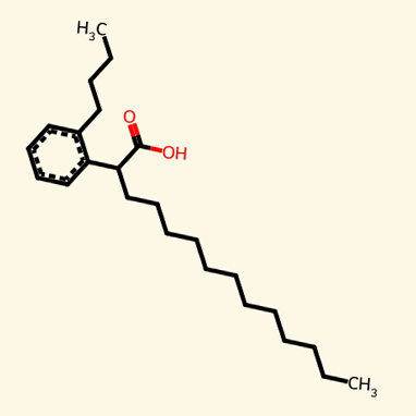 CCCCCCCCCCCCC(C(=O)O)c1ccccc1CCCC